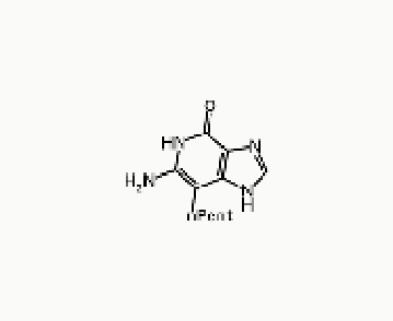 CCCCCc1c(N)[nH]c(=O)c2nc[nH]c12